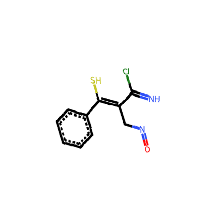 N=C(Cl)/C(CN=O)=C(\S)c1ccccc1